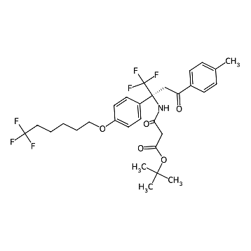 Cc1ccc(C(=O)C[C@](NC(=O)CC(=O)OC(C)(C)C)(c2ccc(OCCCCCC(F)(F)F)cc2)C(F)(F)F)cc1